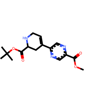 COC(=O)c1cnc(C2=CCNC(C(=O)OC(C)(C)C)C2)cn1